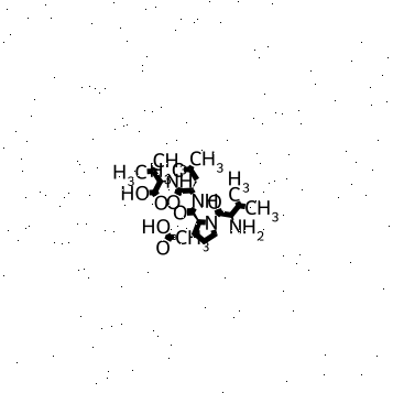 CC(=O)O.CC(C)C[C@H](NC(=O)[C@@H]1CCCN1C(=O)[C@@H](N)C(C)C)C(=O)N[C@H](C(=O)O)C(C)C